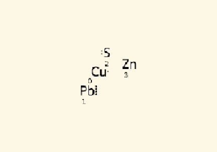 [Cu].[Pb].[S].[Zn]